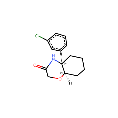 O=C1CO[C@@H]2CCCC[C@]2(c2cccc(Cl)c2)N1